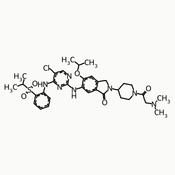 CC(C)Oc1cc2c(cc1Nc1ncc(Cl)c(Nc3ccccc3S(=O)(=O)C(C)C)n1)C(=O)N(C1CCN(C(=O)CN(C)C)CC1)C2